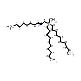 CCCCCCC/C=C/C[Si](C)(CCCCCCCCCC)CCCCCCCCCC